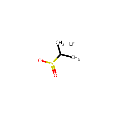 CC(C)S(=O)[O-].[Li+]